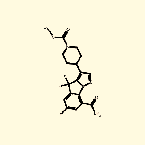 CC(C)(C)OC(=O)N1CCC(c2cnn3c2C(F)(F)c2cc(F)cc(C(N)=O)c2-3)CC1